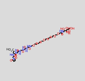 O=C(O)CCC(NC(=O)CN1C(=O)C=CC1=O)C(=O)NCC(=O)NCC(=O)NCC(=O)NCC(=O)NCCOCCOCCOCCOCCOCCOCCOCCOCCC(=O)NCC(O)C(O)C(O)C(O)CO